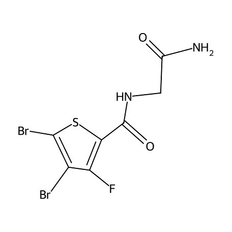 NC(=O)CNC(=O)c1sc(Br)c(Br)c1F